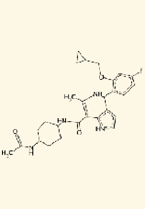 CC(=O)NC1CCC(NC(=O)C2=C(C)NC(c3ccc(F)cc3OCC3CC3)c3cc[nH]c32)CC1